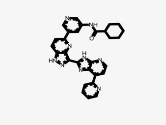 O=C(Nc1cncc(-c2ccc3[nH]nc(-c4nc5c(-c6ccccn6)ccnc5[nH]4)c3n2)c1)C1CCCCC1